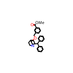 COC(=O)c1cccc(COC2C3CCN(CC3)C2C(c2ccccc2)c2ccccc2)c1